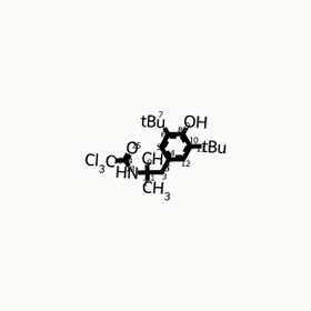 CC(C)(Cc1cc(C(C)(C)C)c(O)c(C(C)(C)C)c1)NC(=O)C(Cl)(Cl)Cl